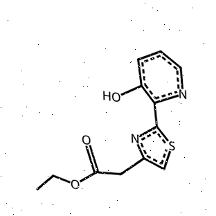 CCOC(=O)Cc1csc(-c2ncccc2O)n1